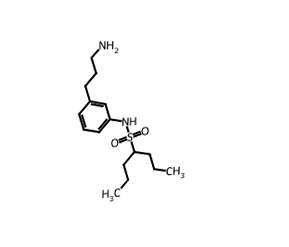 CCCC(CCC)S(=O)(=O)Nc1cccc(CCCN)c1